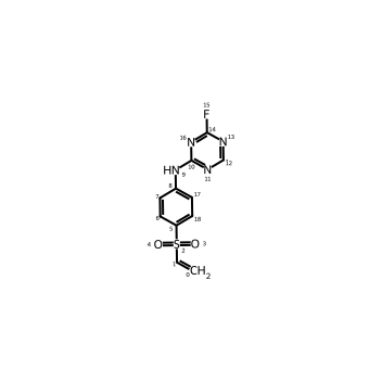 C=CS(=O)(=O)c1ccc(Nc2n[c]nc(F)n2)cc1